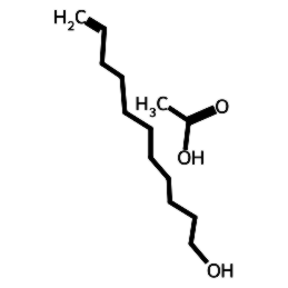 C=CCCCCCCCCCO.CC(=O)O